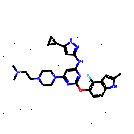 Cc1cc2c(F)c(Oc3nc(Nc4cc(C5CC5)[nH]n4)cc(N4CCN(CCN(C)C)CC4)n3)ccc2[nH]1